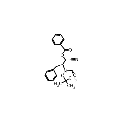 CC(C)(C)ON(C=O)[C@@H](Cc1ccccc1)[C@@H](C#N)OC(=O)c1ccccc1